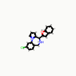 Clc1ccc2c(c1)-n1cccc1C(c1cc3ccccc3o1)NC2